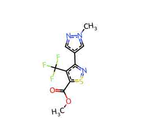 COC(=O)c1snc(-c2cnn(C)c2)c1C(F)(F)F